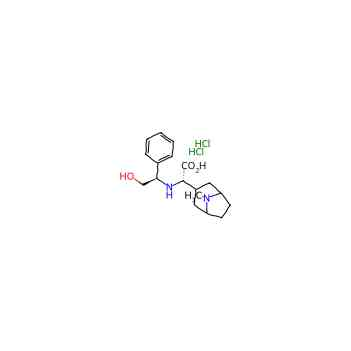 CN1C2CCC1CC([C@H](N[C@@H](CO)c1ccccc1)C(=O)O)C2.Cl.Cl